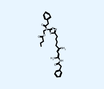 CCCC(=O)OCN(C(=O)Cc1ccccc1)c1nnc(CCCC/C(N)=C/C=C(\N)NC(=O)Cc2ccccc2)s1